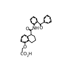 O=C(O)COc1cccc2c1CCCC2C(=O)Nc1ccccc1C(=O)c1ccccc1